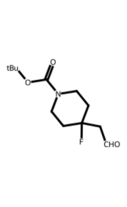 CC(C)(C)OC(=O)N1CCC(F)(CC=O)CC1